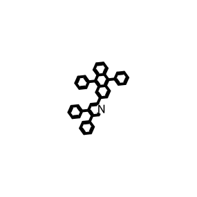 c1ccc(-c2cnc(-c3ccc4c(-c5ccccc5)c5ccccc5c(-c5ccccc5)c4c3)cc2-c2ccccc2)cc1